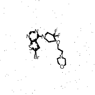 FC1(F)CN(c2ncnc3sc(Br)cc23)CC1OCCN1CCOCC1